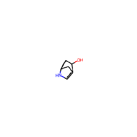 OC1CC2CC1=CN2